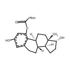 CCCCCCCCCC(=O)Oc1cc(O)cc2c1[C@H]1CC[C@]3(C)[C@H](O)CC[C@H]3[C@@H]1CC2